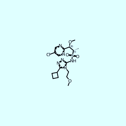 COCCn1c(NS(=O)(=O)[C@@H](C)[C@H](OC)c2ncc(Cl)cn2)nnc1C1CCC1